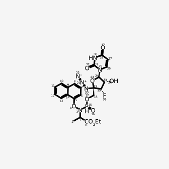 CCOC(=O)C(C)N(Oc1cccc2ccccc12)[PH](=O)OC[C@@]1(N=[N+]=[N-])O[C@@H](n2ccc(=O)[nH]c2=O)[C@H](O)[C@@H]1F